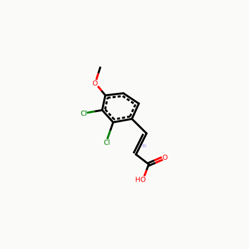 COc1ccc(/C=C/C(=O)O)c(Cl)c1Cl